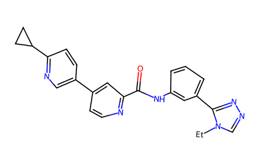 CCn1cnnc1-c1cccc(NC(=O)c2cc(-c3ccc(C4CC4)nc3)ccn2)c1